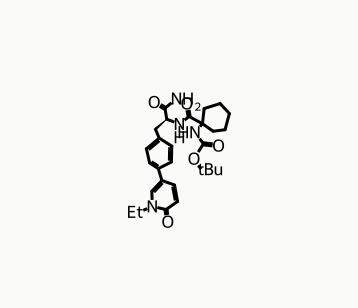 CCn1cc(-c2ccc(C[C@H](NC(=O)C3(NC(=O)OC(C)(C)C)CCCCC3)C(N)=O)cc2)ccc1=O